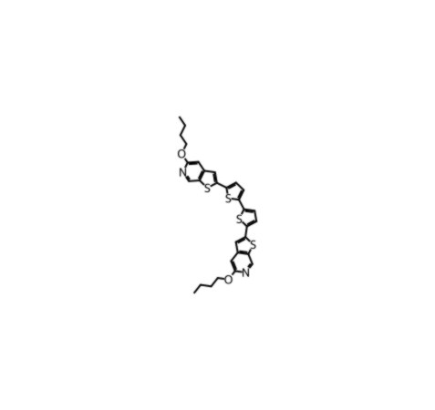 CCCCOc1cc2cc(-c3ccc(-c4ccc(-c5cc6cc(OCCCC)ncc6s5)s4)s3)sc2cn1